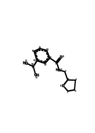 O=C(NCC1CCCO1)c1cccc(B(O)O)c1